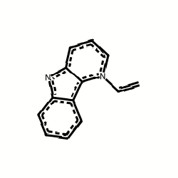 C=Cn1cccc2nc3ccccc3c1-2